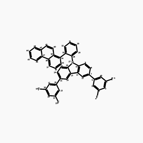 Fc1cc(F)cc(-c2ccc3c(c2)c2cc(-c4cc(F)cc(F)c4)ccc2n3-c2ccccc2-c2cccc3c2ccc2ccccc23)c1